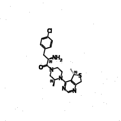 C[C@@H]1SCc2ncnc(N3CCN(C(=O)[C@H](N)Cc4ccc(Cl)cc4)C[C@@H]3C)c21